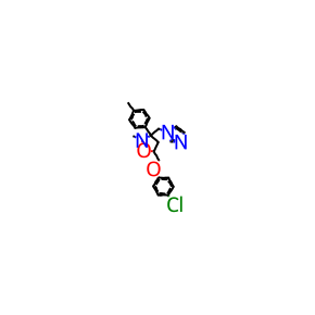 Cc1ccc(C2(Cn3ccnc3)CC(COc3ccc(Cl)cc3)ON2C)cc1